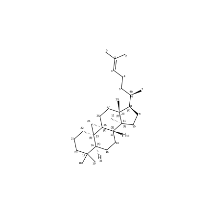 CC(C)=CCC[C@@H](C)[C@H]1CC[C@@]2(C)[C@@H]3CC[C@H]4C(C)(C)CCC[C@@]45C[C@]35CC[C@]12C